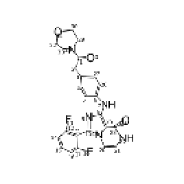 O=C(Cc1ccc(Nc2nc(-c3c(F)cccc3F)n3cc[nH]c(=O)c23)cc1)N1CCOCC1